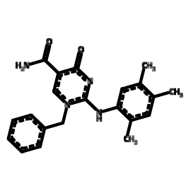 Cc1cc(C)c(Nc2nc(=O)c(C(N)=O)cn2Cc2ccccc2)cc1C